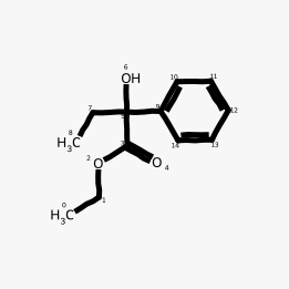 CCOC(=O)C(O)(CC)c1ccccc1